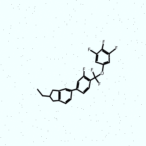 CCC1Cc2ccc(-c3ccc(C(F)(F)Oc4cc(F)c(F)c(F)c4)c(F)c3)cc2C1